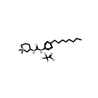 CCCCCCCCc1ccc(NC(=O)NC2CCC[N+](C)(C)C2)cc1.O=C([O-])C(F)(F)F